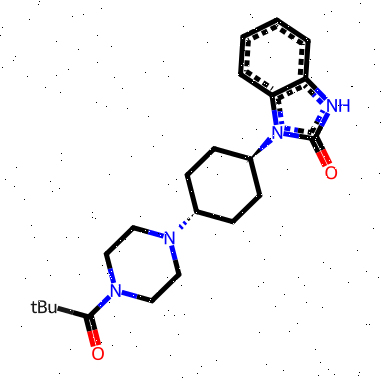 CC(C)(C)C(=O)N1CCN([C@H]2CC[C@H](n3c(=O)[nH]c4ccccc43)CC2)CC1